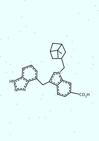 CC1(C)C2CC(Cn3cc(Cc4cccc5[nH]nnc45)c4ccc(C(=O)O)cc43)CC1C2